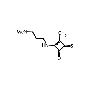 CNCCCNc1c(C)c(=S)c1=O